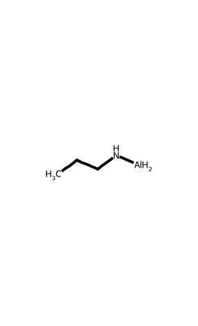 CCC[NH][AlH2]